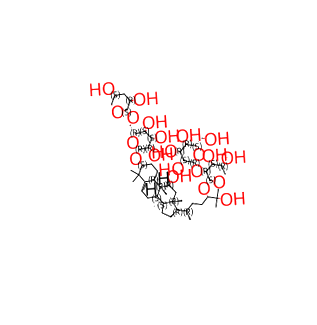 C[C@H](CCC(O[C@@H]1OC[C@@H](O)[C@H](O)[C@H]1O[C@H]1O[C@@H](CO)[C@H](O)[C@@H](O)[C@@H]1O)C(C)(C)O)[C@H]1CC[C@@]2(C)[C@@H]3CC=C4[C@@H](CC[C@H](O[C@@H]5O[C@H](CO[C@@H]6OC[C@@H](O)C[C@H]6O)[C@@H](O)[C@H](O)[C@H]5O)C4(C)C)[C@]3(C)[C@H](O)C[C@]12C